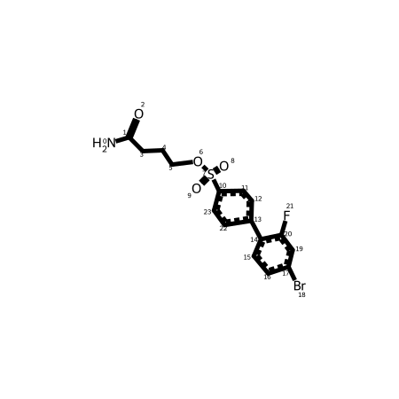 NC(=O)CCCOS(=O)(=O)c1ccc(-c2ccc(Br)cc2F)cc1